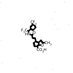 Cc1cc2c(C=CC(=O)NC(c3cccc(C(F)(F)F)c3)C(F)(F)F)ccc(C(=O)O)c2o1